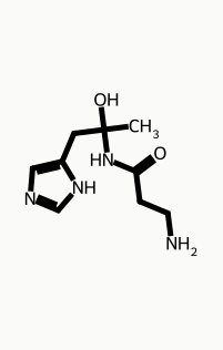 CC(O)(Cc1cnc[nH]1)NC(=O)CCN